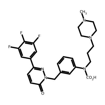 CN1CCN(CCCN(C(=O)O)c2cccc(Cn3nc(-c4cc(F)c(F)c(F)c4)ccc3=O)c2)CC1